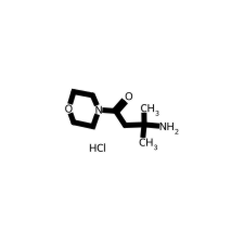 CC(C)(N)CC(=O)N1CCOCC1.Cl